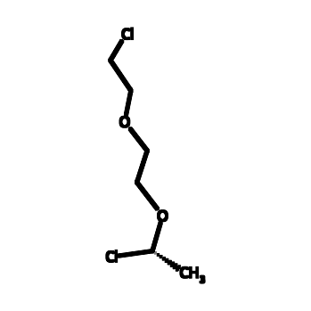 C[C@H](Cl)OCCOCCCl